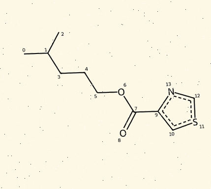 CC(C)CCCOC(=O)c1cscn1